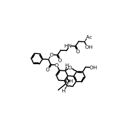 CC(=O)[C@@H](O)CC(=O)NCCC(=O)O[C@@H](C(=O)OC1=CC[C@@]2(O)[C@H]3Cc4ccc(CO)c5c4[C@@]2(CCN3C)[C@H]1O5)c1ccccc1